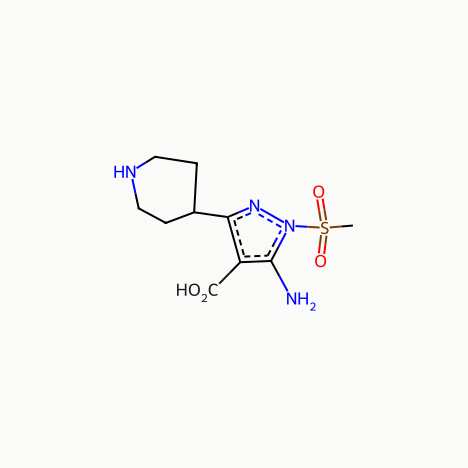 CS(=O)(=O)n1nc(C2CCNCC2)c(C(=O)O)c1N